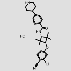 CC1(C)[C@H](NC(=O)c2ccc(C3CCNCC3)cc2)C(C)(C)[C@H]1Oc1ccc(C#N)c(Cl)c1.Cl